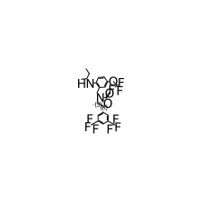 CCC(C)Nc1ccc(OC(F)(F)F)cc1CN1C(=O)O[C@H](c2cc(C(F)(F)F)cc(C(F)(F)F)c2)[C@@H]1C